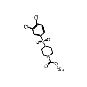 CC(C)(C)OC(=O)N1CCC(S(=O)(=O)c2ccc(Cl)c(Cl)c2)CC1